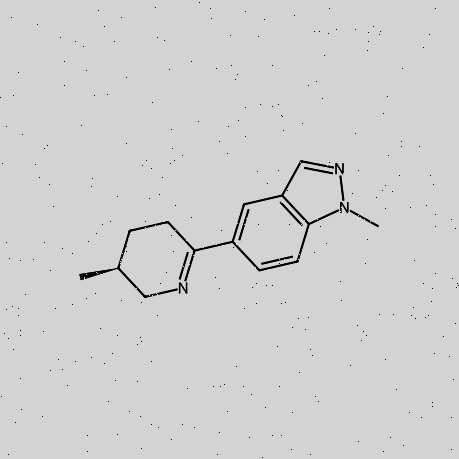 C[C@H]1CCC(c2ccc3c(cnn3C)c2)=NC1